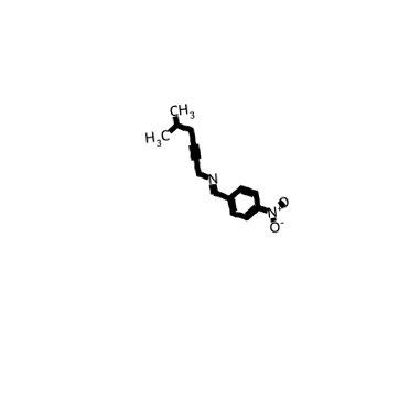 CC(C)CC#CCN=Cc1ccc([N+](=O)[O-])cc1